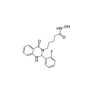 O=C(CCCCN1C(=O)c2ccccc2NC1c1ccccc1F)NO